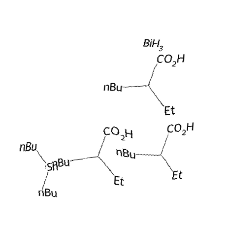 CCCCC(CC)C(=O)O.CCCCC(CC)C(=O)O.CCCCC(CC)C(=O)O.CCC[CH2][Sn][CH2]CCC.[BiH3]